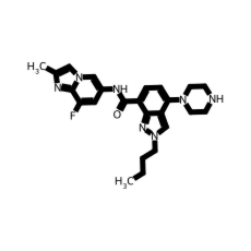 CCCCn1cc2c(N3CCNCC3)ccc(C(=O)Nc3cc(F)c4nc(C)cn4c3)c2n1